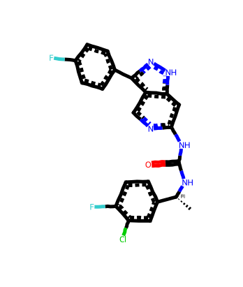 C[C@@H](NC(=O)Nc1cc2[nH]nc(-c3ccc(F)cc3)c2cn1)c1ccc(F)c(Cl)c1